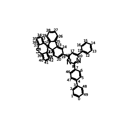 c1ccc(-c2ccc(-c3nc(-c4ccccc4)cc(-c4ccc5c(c4)-c4ccccc4C54c5ccccc5Sc5ccccc54)n3)cc2)cc1